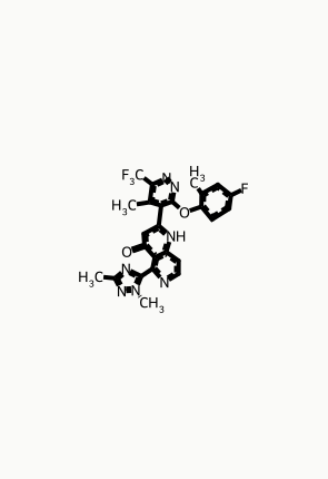 Cc1nc(-c2nccc3[nH]c(-c4c(Oc5ccc(F)cc5C)nnc(C(F)(F)F)c4C)cc(=O)c23)n(C)n1